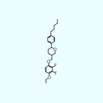 CCCCCc1ccc(C2CCC(COc3ccc(OCC)c(F)c3F)CO2)cc1